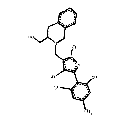 CCc1c(-c2c(C)cc(C)cc2C)nn(CC)c1CN1Cc2ccccc2CC1CO